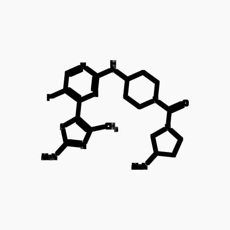 CNc1nc(C)c(-c2nc(NC3CCN(C(=O)N4CCC(NC)C4)CC3)ncc2F)s1